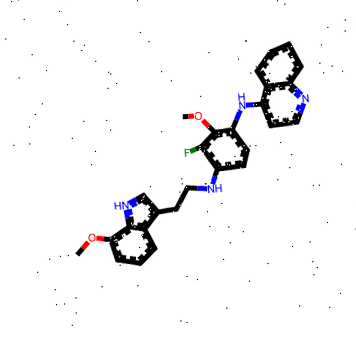 COc1c(Nc2ccnc3ccccc23)ccc(NCCc2c[nH]c3c(OC)cccc23)c1F